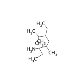 CCC(CC(C)C(C)(N)CC)C(C)C